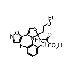 CCOCCC1(NC(=O)C(=O)O)SC=C(c2ccno2)N1c1c(F)cccc1Cl